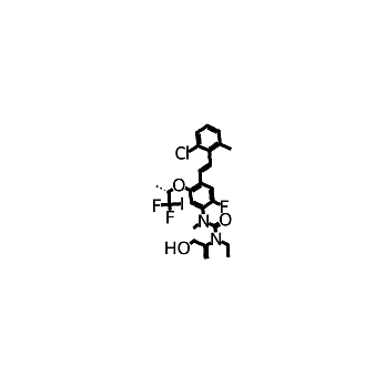 C=C(CO)N(CC)C(=O)N(C)c1cc(O[C@@H](C)C(F)(F)I)c(/C=C/c2c(C)cccc2Cl)cc1F